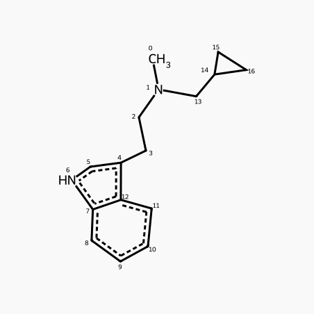 CN(CCc1c[nH]c2ccccc12)CC1CC1